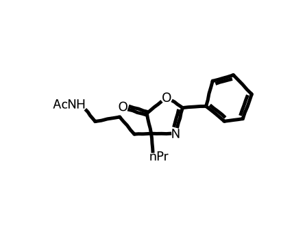 CCCC1(CCCNC(C)=O)N=C(c2ccccc2)OC1=O